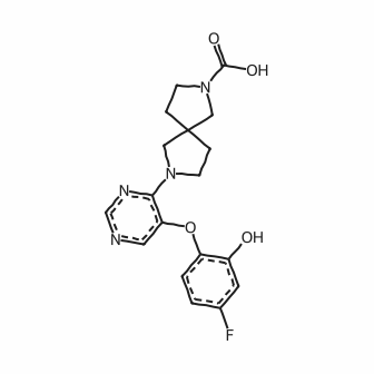 O=C(O)N1CCC2(CCN(c3ncncc3Oc3ccc(F)cc3O)C2)C1